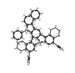 N#Cc1cc2c(c3c1CCCC3)c1cc3c4c5ccccc5ccc4n(-c4ccccc4)c3c3c4c5c(c(C#N)cc4n2c13)CCCC5